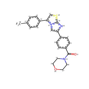 O=C(c1ccc(-c2cn3c(-c4ccc(C(F)(F)F)cc4)csc3n2)cc1)N1CCOCC1